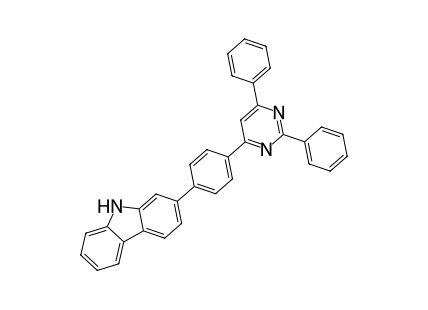 c1ccc(-c2cc(-c3ccc(-c4ccc5c(c4)[nH]c4ccccc45)cc3)nc(-c3ccccc3)n2)cc1